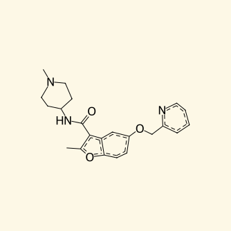 Cc1oc2ccc(OCc3ccccn3)cc2c1C(=O)NC1CCN(C)CC1